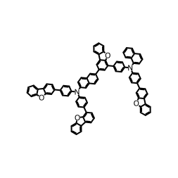 c1ccc2c(N(c3ccc(-c4ccc5c(c4)oc4ccccc45)cc3)c3ccc(-c4cc(-c5ccc6cc(N(c7ccc(-c8ccc9c(c8)oc8ccccc89)cc7)c7ccc(-c8cccc9c8oc8ccccc89)cc7)ccc6c5)cc5c4oc4ccccc45)cc3)cccc2c1